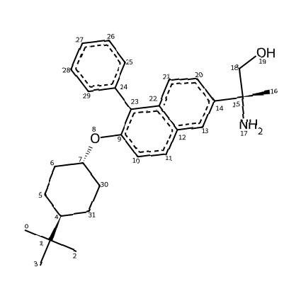 CC(C)(C)[C@H]1CC[C@H](Oc2ccc3cc([C@@](C)(N)CO)ccc3c2-c2ccccc2)CC1